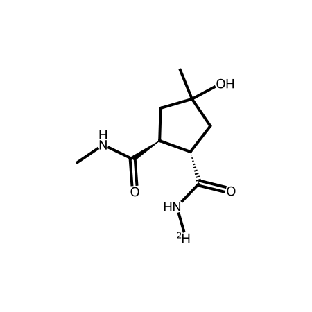 [2H]NC(=O)[C@H]1CC(C)(O)C[C@@H]1C(=O)NC